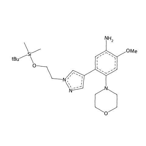 COc1cc(N2CCOCC2)c(-c2cnn(CCO[Si](C)(C)C(C)(C)C)c2)cc1N